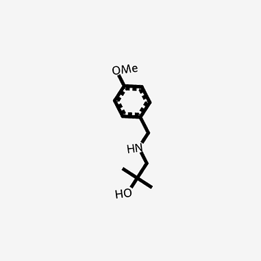 COc1ccc(CNCC(C)(C)O)cc1